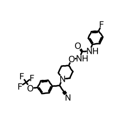 N#CC(c1ccc(OC(F)(F)F)cc1)N1CCC(ONC(=O)Nc2ccc(F)cc2)CC1